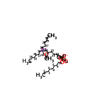 CCCCCCCCOS(=O)(=O)[O-].CCCCCC[P+](CCCCCC)(CCCCCC)COC